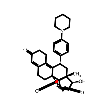 C[C@@]12C[C@H](c3ccc(N4CCCCC4)cc3)C3=C4CCC(=O)C=C4CCC34OC(=O)OCCCC(=O)[C@@]1(O)CCC42